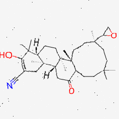 CC1(C)CCC2C(=O)C[C@@H]3[C@@]4(C)CC(C#N)=C(O)C(C)(C)[C@@H]4CC[C@@]3(C)[C@]2(C)CC[C@@](C)(C2CO2)CC1